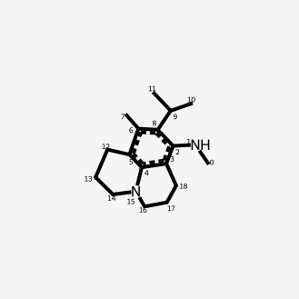 CNc1c2c3c(c(C)c1C(C)C)CCCN3CCC2